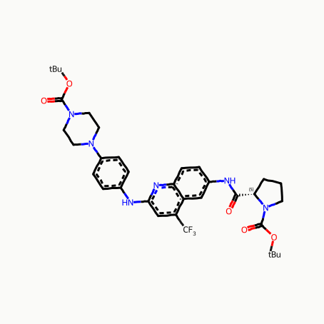 CC(C)(C)OC(=O)N1CCN(c2ccc(Nc3cc(C(F)(F)F)c4cc(NC(=O)[C@@H]5CCCN5C(=O)OC(C)(C)C)ccc4n3)cc2)CC1